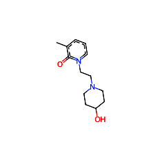 Cc1cccn(CCN2CCC(O)CC2)c1=O